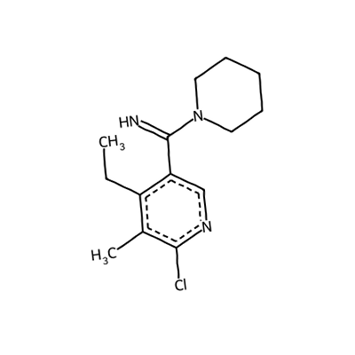 CCc1c(C(=N)N2CCCCC2)cnc(Cl)c1C